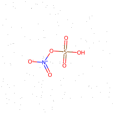 O=[N+]([O-])OS(=O)(=O)O